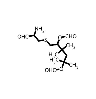 CC(C)(CC(C)(C)C(CSCC(N)C=O)OC=O)OC=O